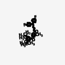 C[C@H]1CN(C(=O)c2cc(C(C)(C)C)cc(C(C)(C)C)c2)CCN1C(=O)CCCCC(c1ccc(F)cc1)c1ccc(F)cc1